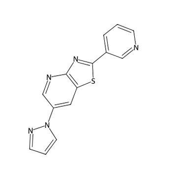 c1cncc(-c2nc3ncc(-n4cccn4)cc3s2)c1